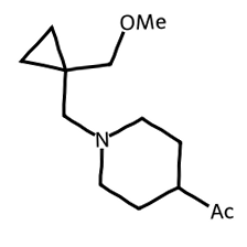 COCC1(CN2CCC(C(C)=O)CC2)CC1